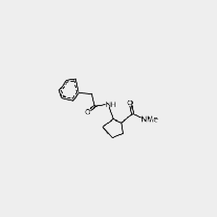 CNC(=O)C1CCCC1NC(=O)Cc1ccccc1